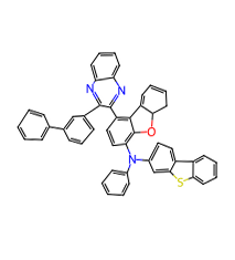 C1=CCC2Oc3c(N(c4ccccc4)c4ccc5c(c4)sc4ccccc45)ccc(-c4nc5ccccc5nc4-c4cccc(-c5ccccc5)c4)c3C2=C1